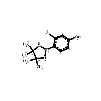 CC(C)c1cc(O)ccc1B1OC(C)(C)C(C)(C)O1